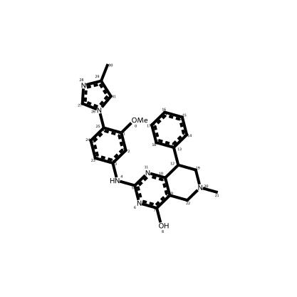 COc1cc(Nc2nc(O)c3c(n2)C(c2ccccc2)CN(C)C3)ccc1-n1cnc(C)c1